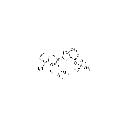 C[C@@H]1C[C@H]([C@H](Cc2cccc(N)c2)C(=O)OC(C)(C)C)CN1C(=O)OC(C)(C)C